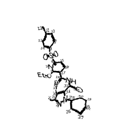 CCOc1nc(S(=O)(=O)c2ccc(C)cc2)ccc1-c1nc2c(C)nn(C3CCCCC3)c2c(=O)[nH]1